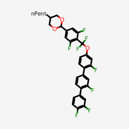 CCCCCC1COC(c2cc(F)c(C(F)(F)Oc3ccc(-c4ccc(-c5ccc(F)c(F)c5)c(F)c4)c(F)c3)c(F)c2)OC1